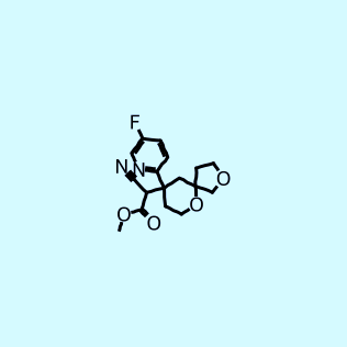 COC(=O)C(C#N)C1(c2ccc(F)cn2)CCOC2(CCOC2)C1